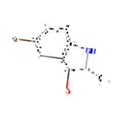 CC1Nc2ccc(Br)cc2C1=O